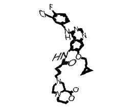 O=C(/C=C/CN1CCN2CCOC(=O)C2C1)Nc1cc2c(Nc3ccc(F)c(Cl)c3)ncnc2cc1OCC1CC1